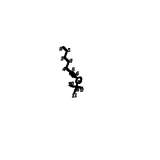 CCCCCC#COC(C)(C)C